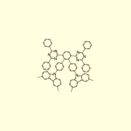 Cc1ccc2c(c1)c1cc(C)ccc1n2-c1ccc(-c2c(-c3nc(-c4ccccc4)nc(-c4ccccc4)n3)ccc(-c3nc(-c4ccccc4)nc(-c4ccccc4)n3)c2-c2ccc(-n3c4ccc(C)cc4c4cc(C)ccc43)cc2)cc1